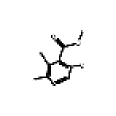 COC(=O)c1c(Cl)ccc(F)c1C